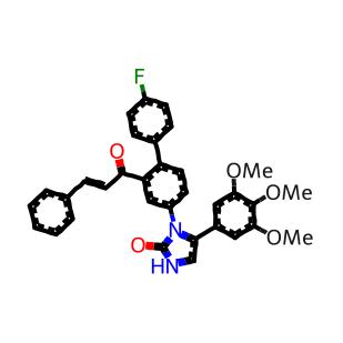 COc1cc(-c2c[nH]c(=O)n2-c2ccc(-c3ccc(F)cc3)c(C(=O)/C=C/c3ccccc3)c2)cc(OC)c1OC